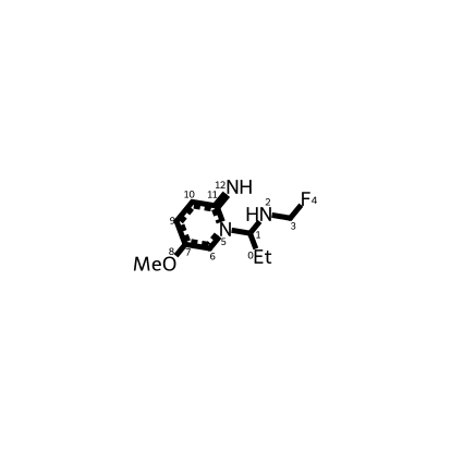 CCC(NCF)n1cc(OC)ccc1=N